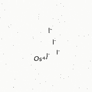 [I-].[I-].[I-].[I-].[Os+4]